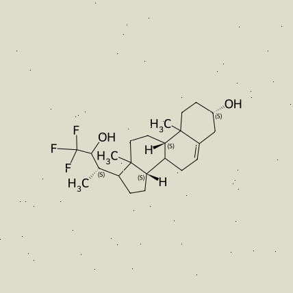 C[C@H](C(O)C(F)(F)F)C1CC[C@H]2C3CC=C4C[C@@H](O)CCC4(C)[C@H]3CCC12C